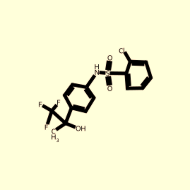 CC(O)(c1ccc(NS(=O)(=O)c2ccccc2Cl)cc1)C(F)(F)F